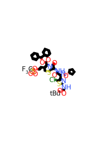 CC(C)(C)OC(=O)Nc1nc(C(=NOC2CCCC2)C(=O)NC2C(=O)N3C(C(=O)OC(c4ccccc4)c4ccccc4)=C(C=COS(=O)(=O)C(F)(F)F)CSC23)c(Cl)s1